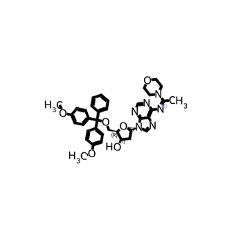 COc1ccc(C(OC[C@H]2O[C@@H](n3cnc4c(/N=C(/C)N5CCOCC5)ncnc43)C[C@H]2O)(c2ccccc2)c2ccc(OC)cc2)cc1